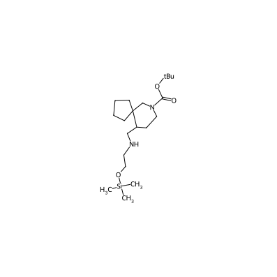 CC(C)(C)OC(=O)N1CCC(CNCCO[Si](C)(C)C)C2(CCCC2)C1